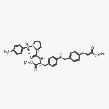 COC(=O)[C@H](Cc1ccc(NCc2ccc(OCC(=O)OC(C)(C)C)cc2)cc1)NC(=O)[C@@H]1CCCN1S(=O)(=O)c1ccc(C)cc1